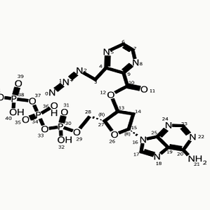 [N-]=[N+]=NCc1nccnc1C(=O)OC1C[C@H](n2cnc3c(N)ncnc32)O[C@@H]1COP(=O)(O)OP(=O)(O)OP(=O)(O)O